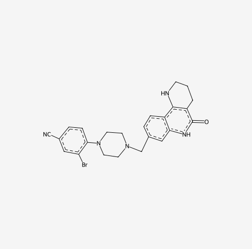 N#Cc1ccc(N2CCN(Cc3ccc4c5c(c(=O)[nH]c4c3)CCCN5)CC2)c(Br)c1